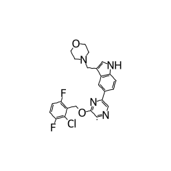 Fc1ccc(F)c(COc2[c]ncc(-c3ccc4[nH]cc(CN5CCOCC5)c4c3)n2)c1Cl